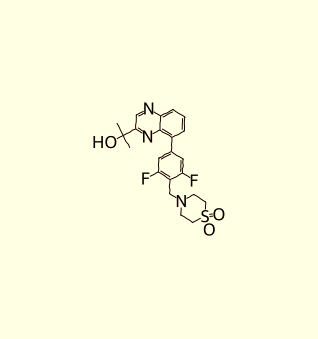 CC(C)(O)c1cnc2cccc(-c3cc(F)c(CN4CCS(=O)(=O)CC4)c(F)c3)c2n1